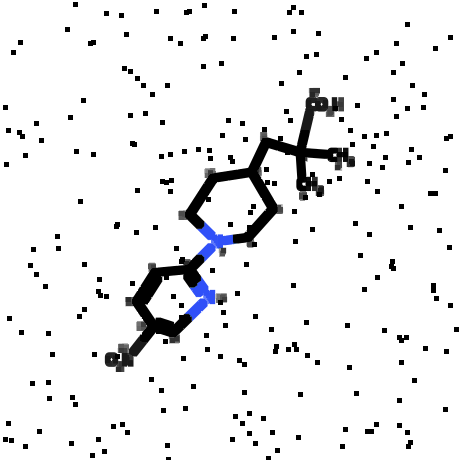 CC(C)(CC1CCN(c2ccc([N+](=O)[O-])cn2)CC1)C(=O)O